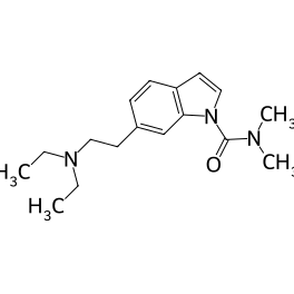 CCN(CC)CCc1ccc2ccn(C(=O)N(C)C)c2c1